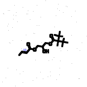 C/C=C/C(=O)OCC(O)COC(=O)C(C)(C(C)(C)C)C(C)(C)C